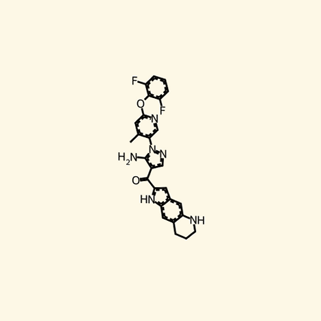 Cc1cc(Oc2c(F)cccc2F)ncc1-n1ncc(C(=O)c2cc3cc4c(cc3[nH]2)CCCN4)c1N